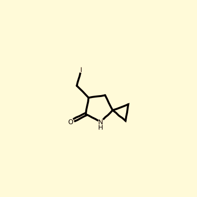 O=C1NC2(CC2)CC1CI